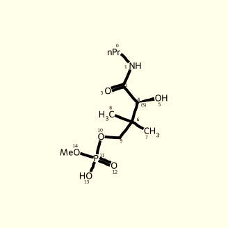 CCCNC(=O)[C@@H](O)C(C)(C)COP(=O)(O)OC